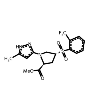 COC(=O)[C@@H]1C[C@@H](S(=O)(=O)c2ccccc2C(F)(F)F)CN1c1cc(C)[nH]n1